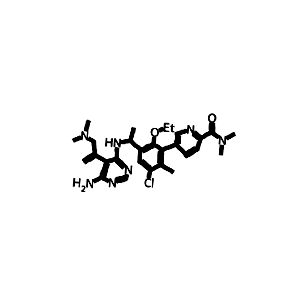 C=C(CN(C)C)c1c(N)ncnc1NC(C)c1cc(Cl)c(C)c(-c2ccc(C(=O)N(C)C)nc2)c1OCC